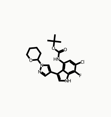 CC(C)(C)OC(=O)Nc1cc(Cl)c(F)c2[nH]cc(-c3cnn(C4CCCCO4)c3)c12